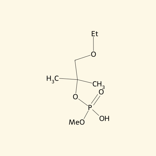 CCOCC(C)(C)OP(=O)(O)OC